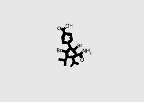 CC(C)c1c(Br)c(-c2ccc(C(=O)O)cc2)c(Br)c(C(N)=O)c1C(C)C